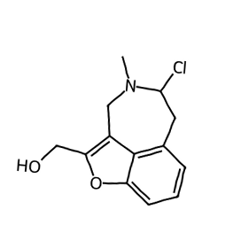 CN1Cc2c(CO)oc3cccc(c23)CC1Cl